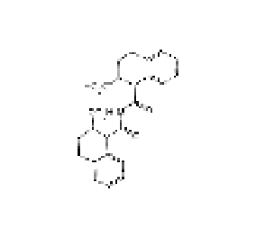 O=C(O)C1CCc2ccccc2C1C(=O)OC(=O)C1c2ccccc2CCC1C(=O)O